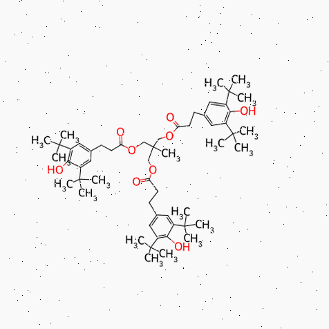 CC(COC(=O)CCc1cc(C(C)(C)C)c(O)c(C(C)(C)C)c1)(COC(=O)CCc1cc(C(C)(C)C)c(O)c(C(C)(C)C)c1)COC(=O)CCc1cc(C(C)(C)C)c(O)c(C(C)(C)C)c1